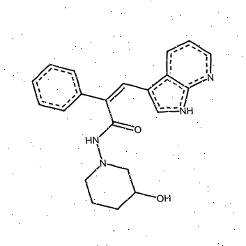 O=C(NN1CCCC(O)C1)C(=Cc1c[nH]c2ncccc12)c1ccccc1